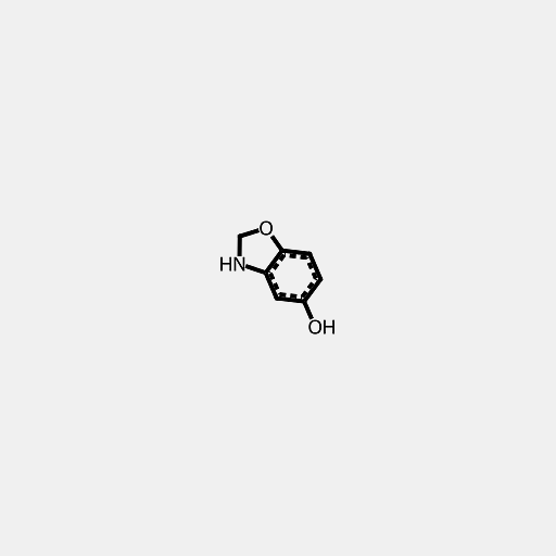 Oc1ccc2c(c1)NCO2